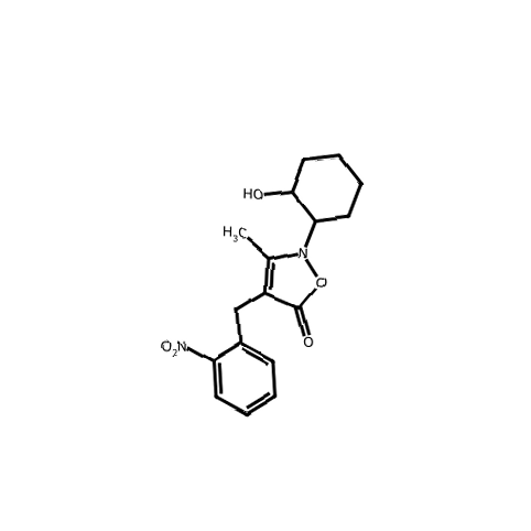 Cc1c(Cc2ccccc2[N+](=O)[O-])c(=O)on1C1CCCCC1O